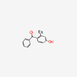 CCc1cc(O)ccc1C(=O)c1ccccc1